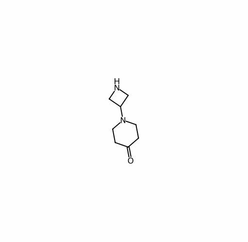 O=C1CCN(C2CNC2)CC1